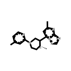 Cc1ccnc(N2CC[C@@H](C)C(c3cc(C)nc4ncnn34)C2)c1